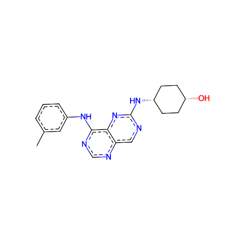 Cc1cccc(Nc2ncnc3cnc(N[C@H]4CC[C@@H](O)CC4)nc23)c1